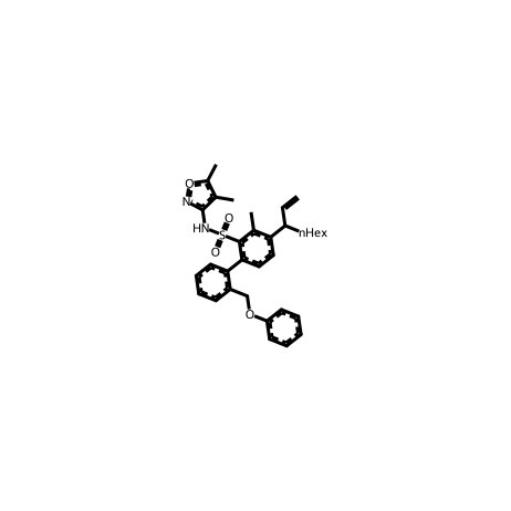 C=CC(CCCCCC)c1ccc(-c2ccccc2COc2ccccc2)c(S(=O)(=O)Nc2noc(C)c2C)c1C